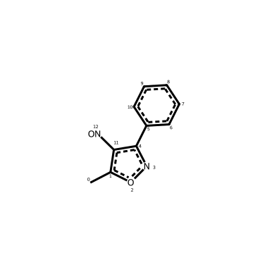 Cc1onc(-c2ccccc2)c1N=O